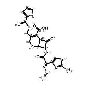 CO/N=C(/C(=O)NC1C(=O)N2C(C(=O)O)=C(CSC(=O)c3ccco3)CSC12)c1csc(N)n1